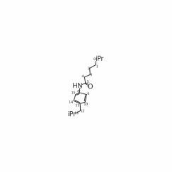 CC(C)CCCCC(=O)Nc1ccc(CC(C)C)cc1